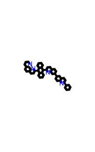 c1ccc(-c2ccc3cc(-c4ccc5ccc(-c6c7ccccc7c(-c7ccc8ccc9cccnc9c8n7)c7ccccc67)nc5c4)ccc3n2)cc1